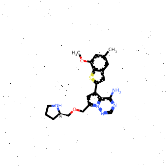 COc1cc(C)cc2cc(-c3cc(COC[C@H]4CCCN4)n4ncnc(N)c34)sc12